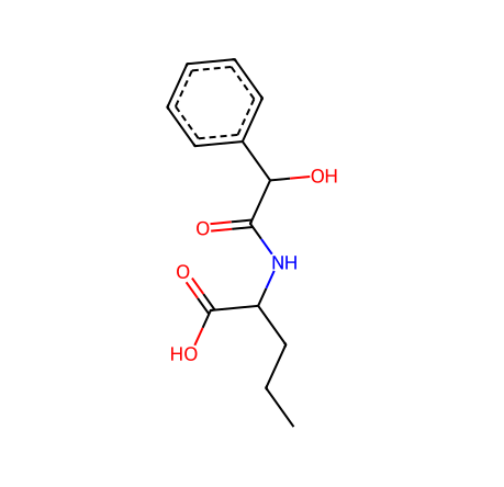 CCCC(NC(=O)C(O)c1ccccc1)C(=O)O